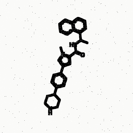 CC(NC(=O)c1cc(-c2ccc(C3CCNCC3)cc2)cn1C)c1cccc2ccccc12